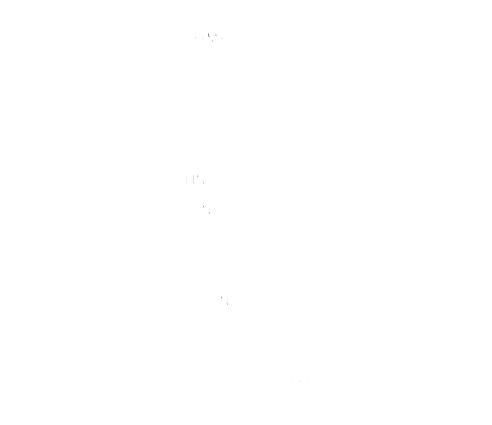 COc1ccc(CNN=Cc2ccc[n+](CCCS(=O)(=O)O)c2)cc1